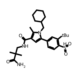 Cc1c(C(=O)NCC(C)(C)C(N)=O)cc(-c2ccc([SH](=O)=O)c(C(C)(C)C)c2)n1CC1CCCCC1